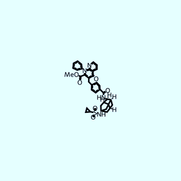 COC(=O)c1c(Cc2ccc(C(=O)N[C@@H]3[C@@H]4C[C@@H]5C[C@H]3C[C@@](NS(=O)(=O)C3CC3)(C5)C4)cc2)c(=O)c2cccnc2n1-c1ccccc1